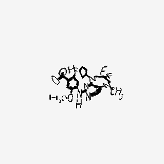 COc1cc(C(=O)O)c(F)cc1Nc1ncc2c(n1)N(C1CCCC1)CC(F)(F)CN2C